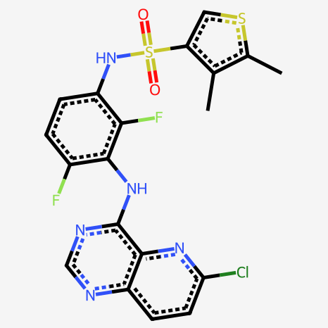 Cc1scc(S(=O)(=O)Nc2ccc(F)c(Nc3ncnc4ccc(Cl)nc34)c2F)c1C